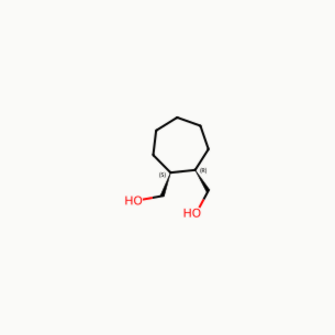 OC[C@@H]1CCCCC[C@@H]1CO